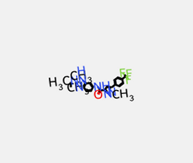 CC(C)N(C)c1nc2ccc(NC(=O)c3cc(-c4ccc(C(F)(F)F)cc4)n(C)n3)cc2[nH]1